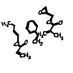 C=C(C)C(=O)OCC1CO1.C=CC(=O)OCCCC.C=Cc1ccccc1